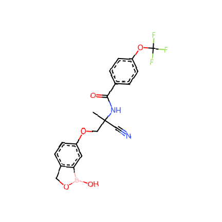 CC(C#N)(COc1ccc2c(c1)B(O)OC2)NC(=O)c1ccc(OC(F)(F)F)cc1